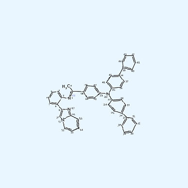 C/C(=N\c1ccccc1-c1cn2ccccc2n1)c1ccc(N(c2ccc(-c3ccccc3)cc2)c2ccc(-c3ccccc3)cc2)cc1